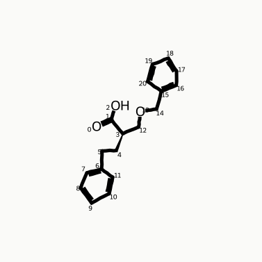 O=C(O)[C@H](CCc1ccccc1)COCc1ccccc1